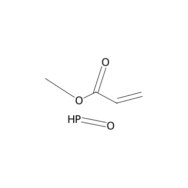 C=CC(=O)OC.O=P